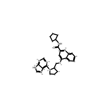 O=C(NC1CCCC1)c1cc(OCC2CCCN2c2ncnc3[nH]cnc23)c2ccccc2n1